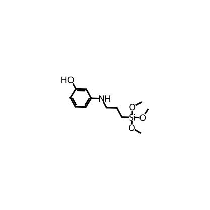 CO[Si](CCCNc1cccc(O)c1)(OC)OC